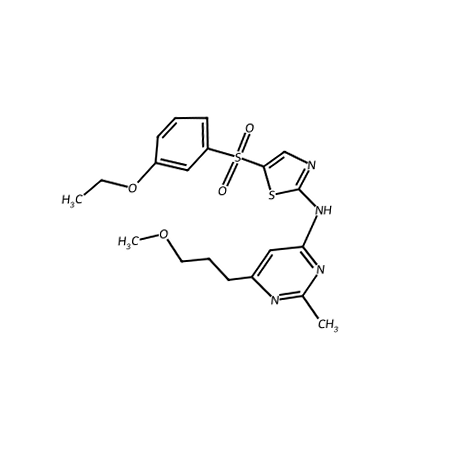 CCOc1cccc(S(=O)(=O)c2cnc(Nc3cc(CCCOC)nc(C)n3)s2)c1